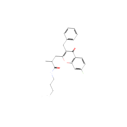 CC([CH]c1oc2cc(F)ccc2c(=O)c1Cc1ccccc1)C(=O)NCCC[AsH2]